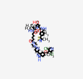 Cc1ncsc1-c1ccc([C@H](C)NC(=O)[C@@H]2C[C@@H](O)CN2C(=O)[C@@H](NC(=O)CCCCC(=O)N2CCN(c3ccc(-c4n[nH]c5ccc(O[C@H](C)c6c(Cl)cncc6Cl)cc45)cn3)CC2)C(C)(C)C)cc1